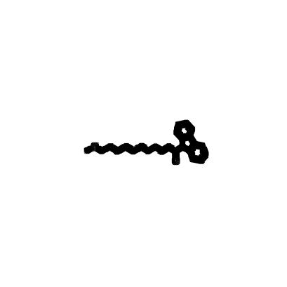 COCCCCCCCCCCC(=O)C1c2ccccc2-c2ccccc21